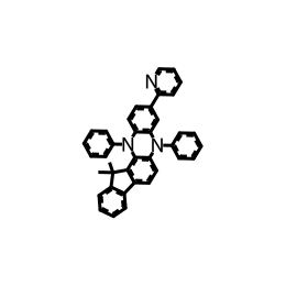 CC1(C)c2ccccc2-c2ccc3c(c21)N(c1ccccc1)c1ccc(-c2ccccn2)cc1N3c1ccccc1